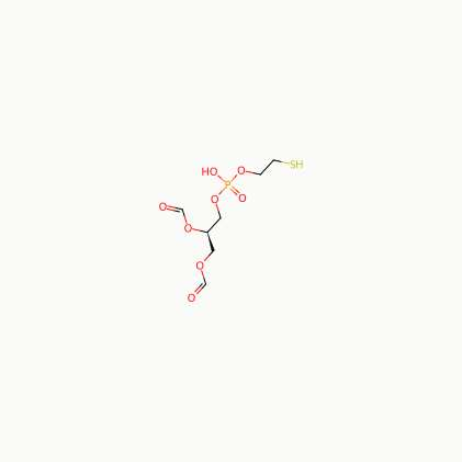 O=COC[C@H](COP(=O)(O)OCCS)OC=O